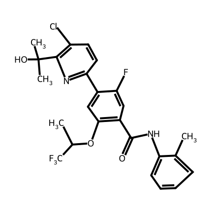 Cc1ccccc1NC(=O)c1cc(F)c(-c2ccc(Cl)c(C(C)(C)O)n2)cc1OC(C)C(F)(F)F